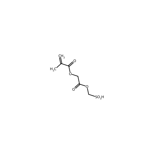 C=C(C)C(=O)OCC(=O)OCS(=O)(=O)O